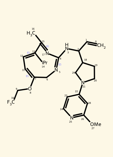 C=CC(NC1=N\C\C(OCC(F)(F)F)=C/C=C(C(C)C)/C(C)=N/1)C1CCN(c2ccnc(OC)c2)C1